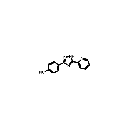 N#Cc1ccc(-c2n[nH]c(-c3ccccn3)n2)cc1